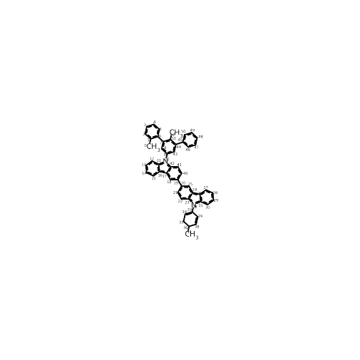 Cc1ccccc1-c1cc(-n2c3ccccc3c3cc(-c4ccc5c(c4)c4ccccc4n5C4=CCC(C)C=C4)ccc32)cc(-c2ccccc2)c1C